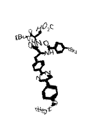 CCCCCCCOc1ccc(-c2cnc(-c3ccc(CC(NC(=O)c4ccc(C(C)(C)C)cc4)C(=O)NC(CC(=O)O)C(=O)OC(C)(C)C)cc3)nc2)cc1